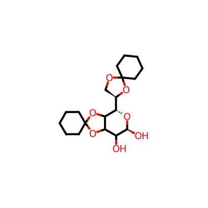 OC1C2OC3(CCCCC3)OC2[C@H]([C@H]2COC3(CCCCC3)O2)O[C@H]1O